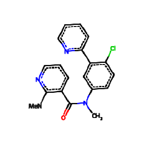 CNc1ncccc1C(=O)N(C)c1ccc(Cl)c(-c2ccccn2)c1